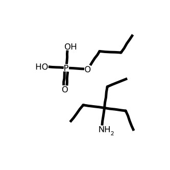 CCC(N)(CC)CC.CCCOP(=O)(O)O